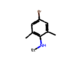 CCNc1c(C)cc(Br)cc1C